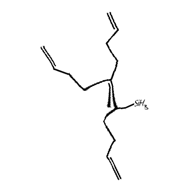 C=CCCC([SiH3])=C(CCC=C)CCC=C